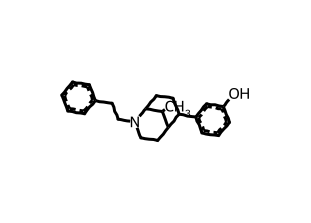 CC1C2CCN(CCc3ccccc3)C1CCC2c1cccc(O)c1